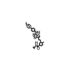 CCN1CCN(c2ccc(Nc3ncnc4c(C=Cc5cc(C(=O)NC6CC6)ccc5C)csc34)cc2)CC1